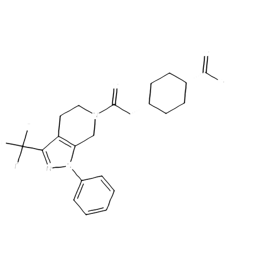 O=C(C[C@H]1CC[C@@H](C(=O)O)CC1)N1CCc2c(C(F)(F)F)nn(-c3ccccc3)c2C1